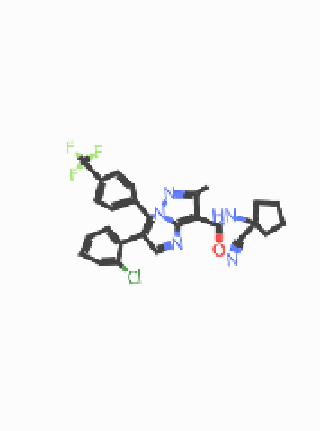 Cc1nn2c(-c3ccc(C(F)(F)F)cc3)c(-c3ccccc3Cl)cnc2c1C(=O)NC1(C#N)CCCC1